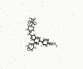 CN(C)S(=O)(=O)C1CCN(CC2Cc3nc(-c4ccc(N)nc4)nc(N4CCOCC4)c3S2)CC1